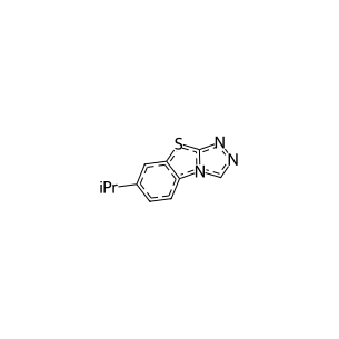 CC(C)c1ccc2c(c1)sc1nncn12